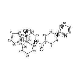 O=C(C1CCN(c2ncccn2)CC1)N1CC[C@@](O)(c2ccccc2)[C@@H]2CCCCC21